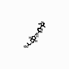 Cc1cnn(C)c1-c1ccc(NC[C@H]2C[C@@H]3CN(CC(C)C(C)(C)C)C[C@@H]3C2)nn1